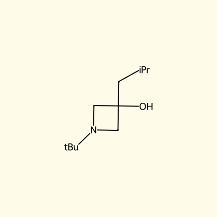 CC(C)CC1(O)CN(C(C)(C)C)C1